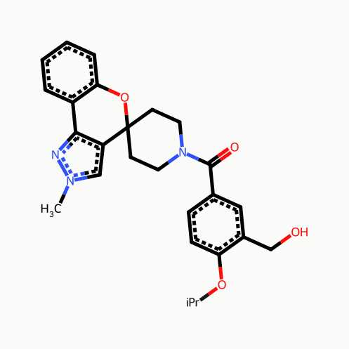 CC(C)Oc1ccc(C(=O)N2CCC3(CC2)Oc2ccccc2-c2nn(C)cc23)cc1CO